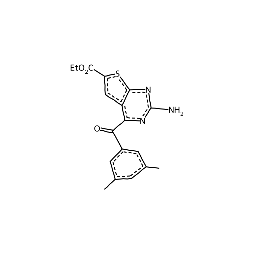 CCOC(=O)c1cc2c(C(=O)c3cc(C)cc(C)c3)nc(N)nc2s1